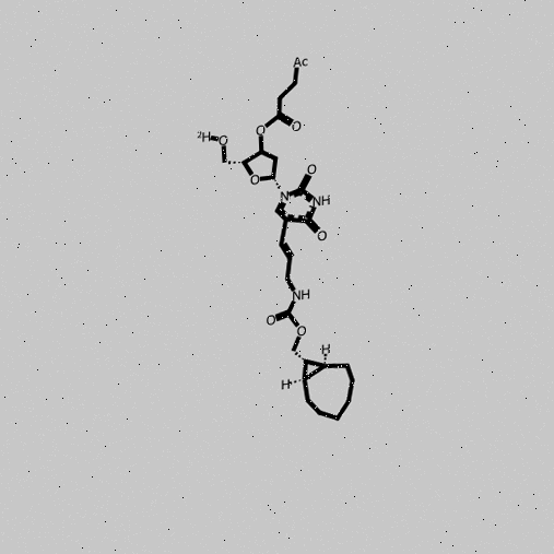 [2H]OC[C@H]1O[C@@H](n2cc(/C=C/CNC(=O)OC[C@H]3[C@@H]4CCCCCC[C@@H]43)c(=O)[nH]c2=O)CC1OC(=O)CCC(C)=O